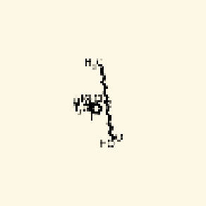 CC1(C)[C@@H]2CC[C@]1(C)[C@@H](O)C2.CCCCCCCCCCCCCCCC(=O)O